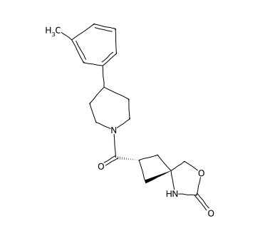 Cc1cccc(C2CCN(C(=O)[C@H]3C[C@]4(COC(=O)N4)C3)CC2)c1